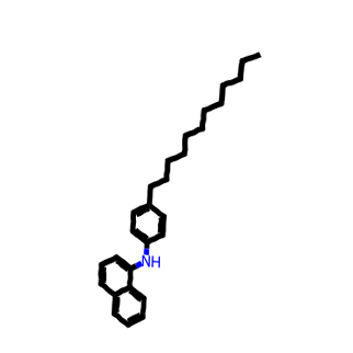 CCCCCCCCCCCCc1ccc(Nc2cccc3ccccc23)cc1